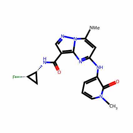 CNc1cc(Nc2cccn(C)c2=O)nc2c(C(=O)N[C@@H]3C[C@@H]3F)cnn12